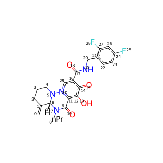 C=C1CCCN2[C@@H]1N(CCC)C(=O)c1c(O)c(=O)c(C(=O)NCc3ccc(F)cc3F)cn12